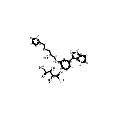 O=C(O)C(O)C(O)C(=O)O.O[C@H](CNCc1cccs1)COc1cccc(-c2noc3ccsc23)c1